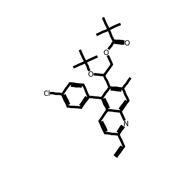 C=Cc1ccc2c(-c3ccc(Cl)cc3)c(C(COC(=O)C(C)(C)C)OC(C)(C)C)c(C)cc2n1